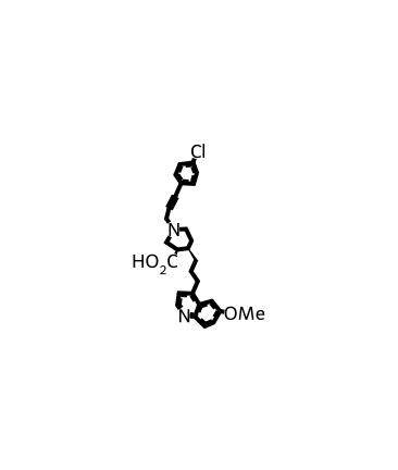 COc1ccc2nccc(CCC[C@@H]3CCN(CC#Cc4ccc(Cl)cc4)C[C@@H]3C(=O)O)c2c1